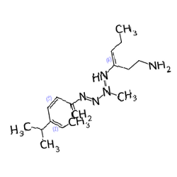 C=C(/C=C\C(=C/C)C(C)C)N=NN(C)N/C(=C/CC)CCN